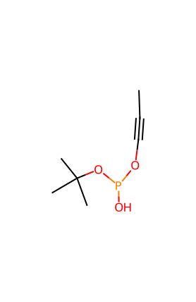 CC#COP(O)OC(C)(C)C